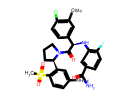 COc1cc([C@@H](Nc2cc(C(N)=O)ccc2F)C(=O)N2CCC[C@@H]2c2cc(NC(C)=O)ccc2S(C)(=O)=O)ccc1Cl